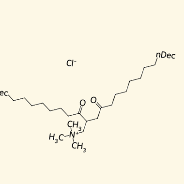 CCCCCCCCCCCCCCCCCC(=O)CC(C[N+](C)(C)C)C(=O)CCCCCCCCCCCCCCCCC.[Cl-]